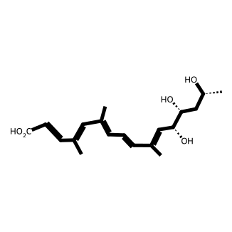 CC(=CC=CC(C)=C[C@@H](O)[C@H](O)C[C@@H](C)O)C=C(C)C=CC(=O)O